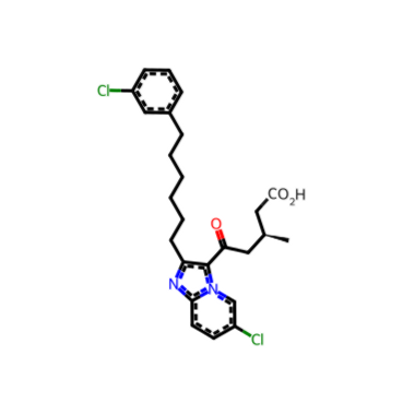 C[C@H](CC(=O)O)CC(=O)c1c(CCCCCCc2cccc(Cl)c2)nc2ccc(Cl)cn12